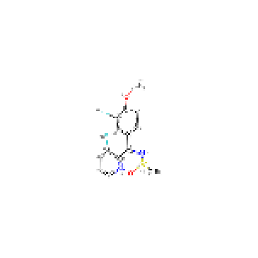 CC(C)(C)[S@@+]([O-])N=C(c1ccc(OC(F)(F)F)c(F)c1)c1ncccc1F